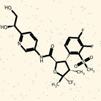 C[C@H]1[C@@H](c2ccc(F)c(F)c2S(C)(=O)=O)[C@H](C(=O)Nc2ccc([C@@H](O)CO)nc2)O[C@@]1(C)C(F)(F)F